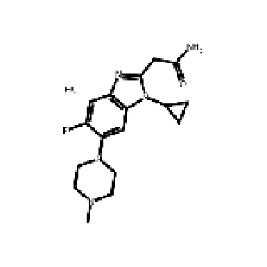 CN1CCN(c2cc3c(cc2F)nc(CC(N)=O)n3C2CC2)CC1.Cl